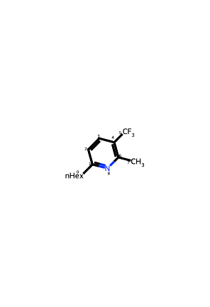 CCCCCCc1ccc(C(F)(F)F)c(C)n1